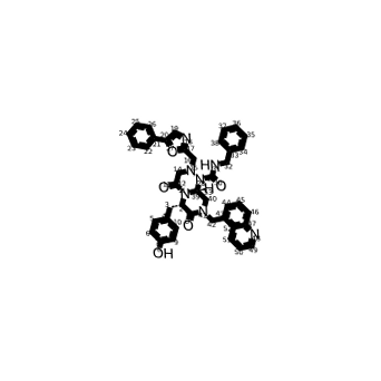 O=C1[C@H](Cc2ccc(O)cc2)N2C(=O)CN(Cc3ncc(-c4ccccc4)o3)N(C(=O)NCc3ccccc3)[C@H]2CN1Cc1cccc2ncccc12